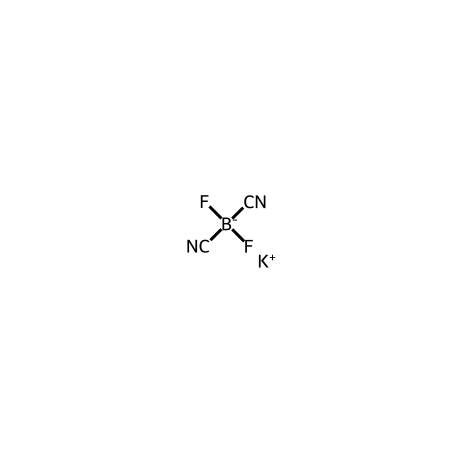 N#C[B-](F)(F)C#N.[K+]